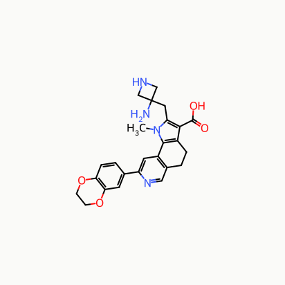 Cn1c(CC2(N)CNC2)c(C(=O)O)c2c1-c1cc(-c3ccc4c(c3)OCCO4)ncc1CC2